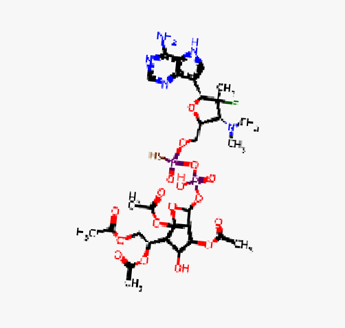 CC(=O)OC[C@H](OC(C)=O)C1C(O)C(OC(C)=O)C2C(OP(=O)(O)OP(=O)(S)OC[C@H]3O[C@@H](c4c[nH]c5c(N)ncnc45)[C@](C)(F)[C@@H]3N(C)C)OC21OC(C)=O